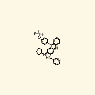 FC(F)(F)Oc1ccc(-n2c3c/c(=N\C4CCCC4)c(Nc4cccnc4)cc-3nc3ccccc32)cc1